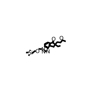 CCC1(CCC(C)=O)Cc2c(ccc3c2nnn3COCC[Si](C)(C)C)C1=O